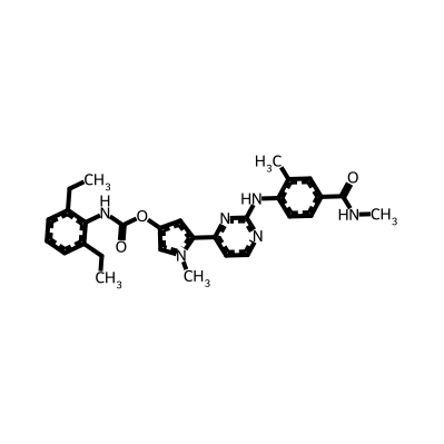 CCc1cccc(CC)c1NC(=O)Oc1cc(-c2ccnc(Nc3ccc(C(=O)NC)cc3C)n2)n(C)c1